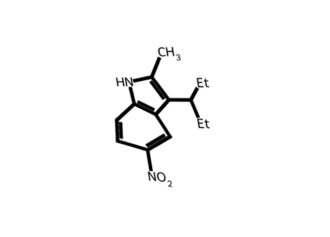 CCC(CC)c1c(C)[nH]c2ccc([N+](=O)[O-])cc12